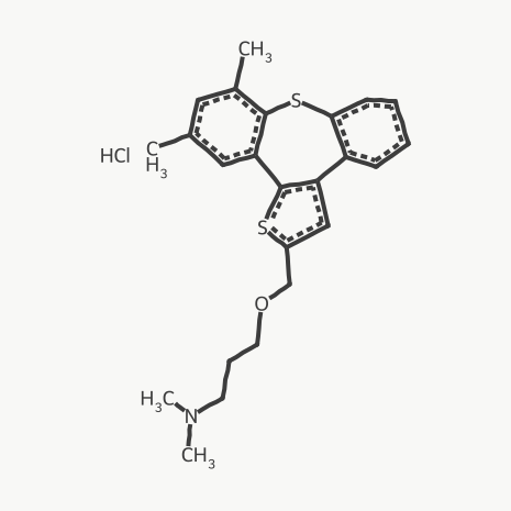 Cc1cc(C)c2c(c1)-c1sc(COCCCN(C)C)cc1-c1ccccc1S2.Cl